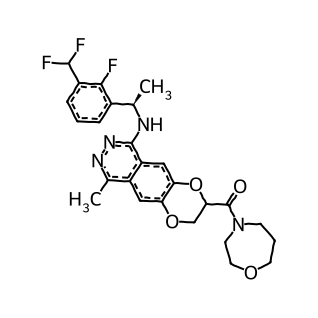 Cc1nnc(N[C@H](C)c2cccc(C(F)F)c2F)c2cc3c(cc12)OCC(C(=O)N1CCCOCC1)O3